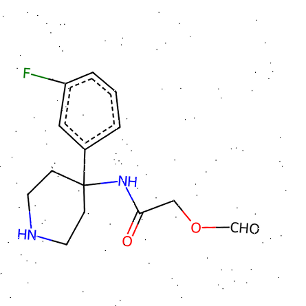 O=COCC(=O)NC1(c2cccc(F)c2)CCNCC1